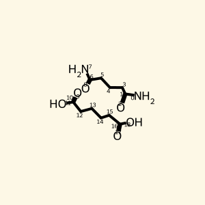 NC(=O)CCCC(N)=O.O=C(O)CCCCC(=O)O